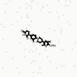 COc1nc(C)c(C2CCN(c3ccc(C4CCC(=O)NC4=O)cc3F)CC2)cc1F